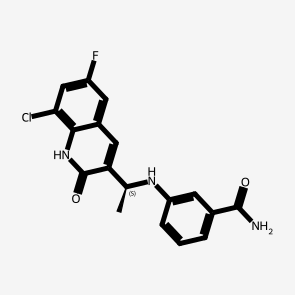 C[C@H](Nc1cccc(C(N)=O)c1)c1cc2cc(F)cc(Cl)c2[nH]c1=O